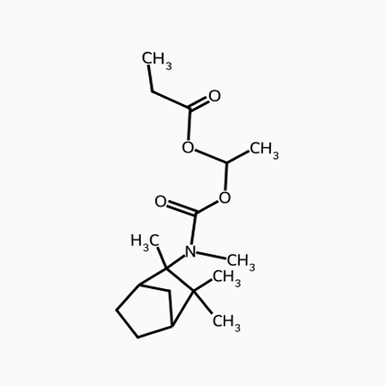 CCC(=O)OC(C)OC(=O)N(C)C1(C)C2CCC(C2)C1(C)C